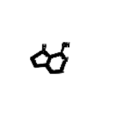 Oc1n[c]cc2cc[nH]c12